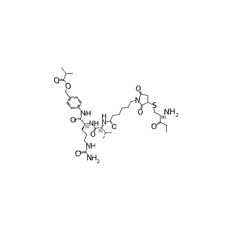 CCC(=O)[C@@H](N)CSC1CC(=O)N(CCCCCC(=O)N[C@H](C(=O)N[C@@H](CCCNC(N)=O)C(=O)Nc2ccc(COC(=O)C(C)C)cc2)C(C)C)C1=O